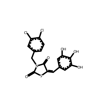 O=C1SC(=Cc2cc(O)c(O)c(O)c2)C(=O)N1Cc1ccc(Cl)c(Cl)c1